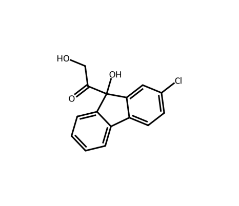 O=C(CO)C1(O)c2ccccc2-c2ccc(Cl)cc21